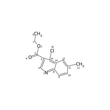 CCOC(=O)c1cnc2ccc(C)cc2c1Cl